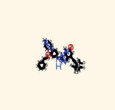 CC(C)[Si](C#Cc1cc(=O)n(C)c2nc(Nc3ccc(N4CCN(C)CC4)c(OCCc4ccccc4)c3)ncc12)(C(C)C)C(C)C